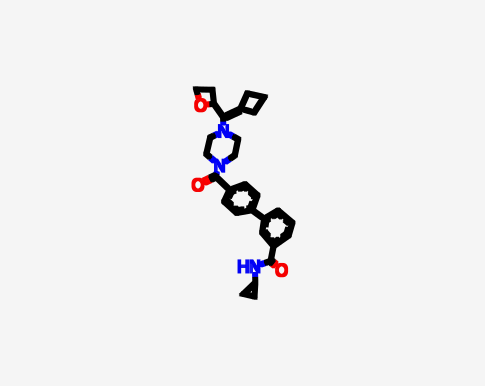 O=C(NC1CC1)c1cccc(-c2ccc(C(=O)N3CCN(C(=C4CCC4)C4CCO4)CC3)cc2)c1